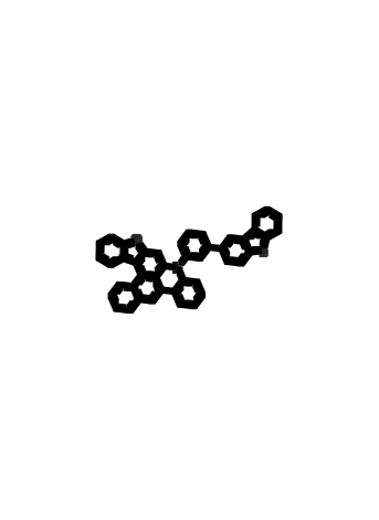 c1cc(-c2ccc3sc4ccccc4c3c2)cc(N(c2ccc3c(c2)oc2ccccc23)c2ccccc2-c2ccc3ccccc3c2)c1